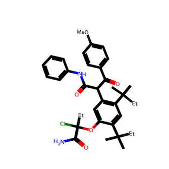 CCC(Cl)(Oc1cc(C(C(=O)Nc2ccccc2)C(=O)c2ccc(OC)cc2)c(C(C)(C)CC)cc1C(C)(C)CC)C(N)=O